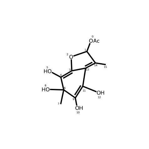 CC(=O)OC1OC2=C(O)C(C)(O)C(O)=C(O)C2=C1C